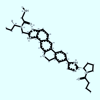 CCCC(=O)N1CCC[C@H]1c1ncc(-c2ccc3c(c2)COc2cc4c(ccc5nc(CN(C(=O)CNC)[C@@H](C)CC)[nH]c54)cc2-3)[nH]1